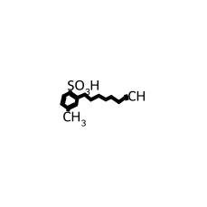 C#CCCCCCCc1cc(C)ccc1S(=O)(=O)O